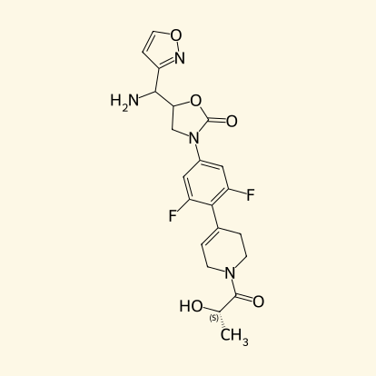 C[C@H](O)C(=O)N1CC=C(c2c(F)cc(N3CC(C(N)c4ccon4)OC3=O)cc2F)CC1